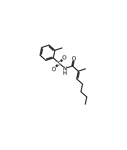 CCCCC=C(C)C(=O)NS(=O)(=O)c1ccccc1C